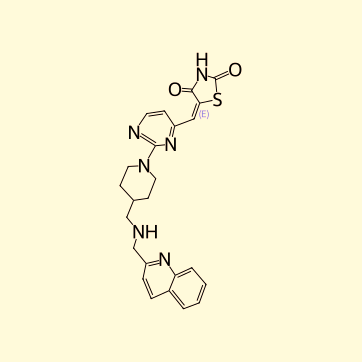 O=C1NC(=O)/C(=C\c2ccnc(N3CCC(CNCc4ccc5ccccc5n4)CC3)n2)S1